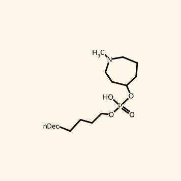 CCCCCCCCCCCCCCOP(=O)(O)OC1CCCN(C)CC1